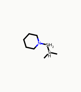 C[SiH](C)[SiH2]N1CCCCC1